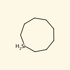 C1CCCC[SiH2]CCC1